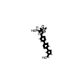 CC(CCc1ccc(-c2ccc(C3CCC(CO)C3)cc2)cc1)(C(=O)NO)S(C)(=O)=O